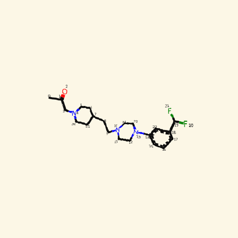 CC(=O)CN1CCC(CCN2CCN(c3cccc(C(F)F)c3)CC2)CC1